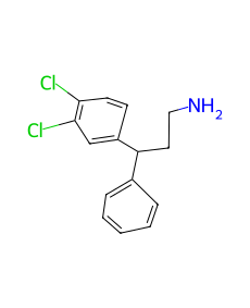 NCCC(c1ccccc1)c1ccc(Cl)c(Cl)c1